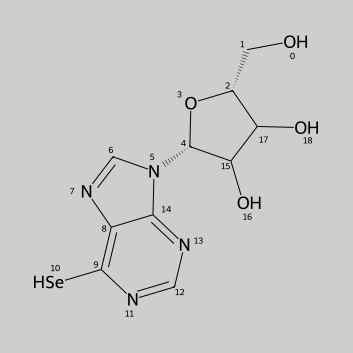 OC[C@H]1O[C@@H](n2cnc3c([SeH])ncnc32)C(O)C1O